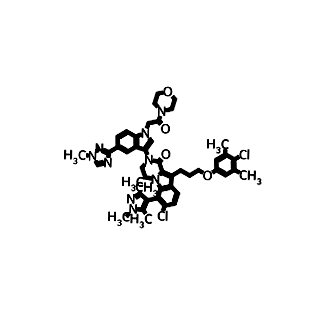 Cc1cc(OCCCc2c3n(c4c(-c5c(C)nn(C)c5C)c(Cl)ccc24)[C@H](C)CN(c2cn(CC(=O)N4CCOCC4)c4ccc(-c5ncn(C)n5)cc24)C3=O)cc(C)c1Cl